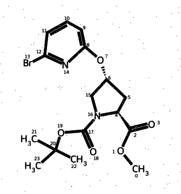 COC(=O)[C@@H]1C[C@@H](Oc2cccc(Br)n2)CN1C(=O)OC(C)(C)C